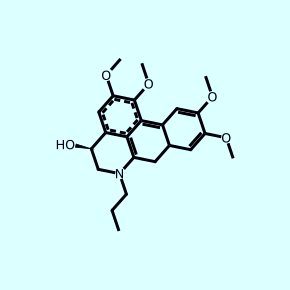 CCCN1C[C@@H](O)c2cc(OC)c(OC)c3c2=C1CC1C=C(OC)C(OC)=CC=31